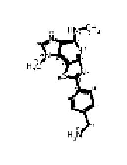 CNc1nc2nc(-c3ccc(CN)cc3)sc2c2c1ncn2C